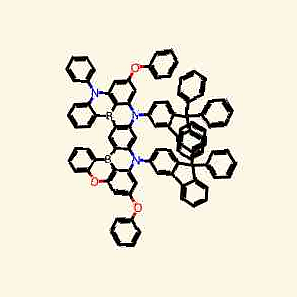 c1ccc(Oc2cc3c4c(c2)N(c2ccc5c(c2)-c2ccccc2C5(c2ccccc2)c2ccccc2)c2cc5c(cc2B4c2ccccc2O3)B2c3ccccc3N(c3ccccc3)c3cc(Oc4ccccc4)cc(c32)N5c2ccc3c(c2)-c2ccccc2C3(c2ccccc2)c2ccccc2)cc1